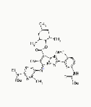 [C-]#[N+]C1=C(C(=O)OC2C(C)CC(C)CC2C)c2nc(-c3cc(NC(=O)CCCC)ccc3OC)nn2/C1=N/c1ccc(N(CC)CCCC)nc1C